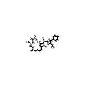 CCc1nc(/C=C\CCN(C)CCN(CC)CC(=O)N(C)C)n(C)c1N(C)c1nc(-c2ccc(F)cc2)c(CO)s1